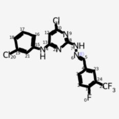 Fc1ccc(/C=N/Nc2nc(Cl)cc(Nc3cccc(Cl)c3)n2)cc1C(F)(F)F